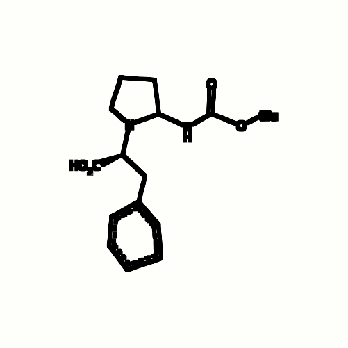 CC(C)(C)OC(=O)NC1CCCN1[C@@H](Cc1ccccc1)C(=O)O